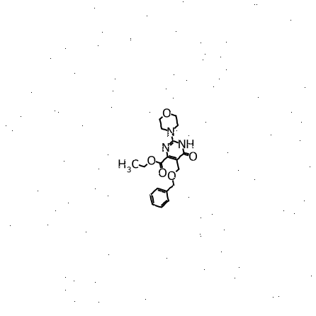 CCOC(=O)c1nc(N2CCOCC2)[nH]c(=O)c1COCc1ccccc1